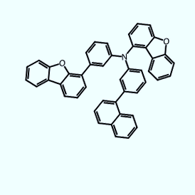 c1cc(-c2cccc3ccccc23)cc(N(c2cccc(-c3cccc4c3oc3ccccc34)c2)c2cccc3oc4ccccc4c23)c1